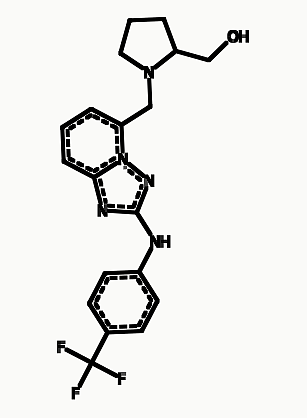 OCC1CCCN1Cc1cccc2nc(Nc3ccc(C(F)(F)F)cc3)nn12